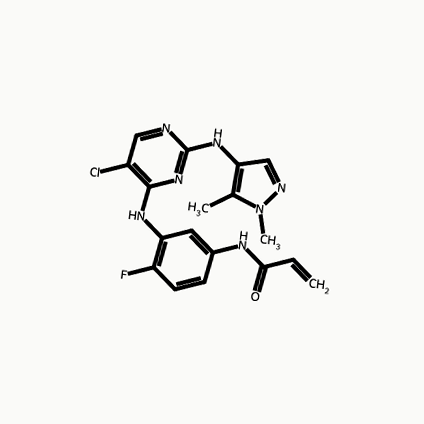 C=CC(=O)Nc1ccc(F)c(Nc2nc(Nc3cnn(C)c3C)ncc2Cl)c1